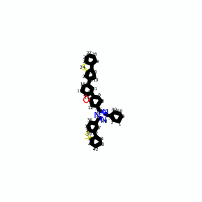 c1ccc(-c2nc(-c3ccc4c(c3)oc3ccc(-c5ccc6c(c5)sc5ccccc56)cc34)nc(-c3ccc4sc5ccccc5c4c3)n2)cc1